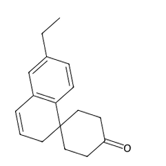 CCc1ccc2c(c1)C=CCC21CCC(=O)CC1